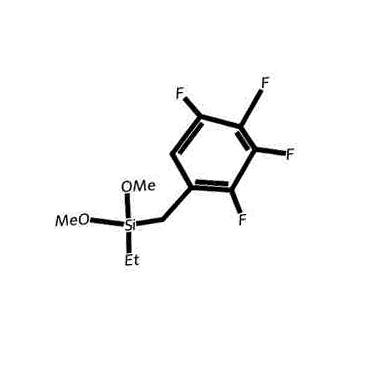 CC[Si](Cc1cc(F)c(F)c(F)c1F)(OC)OC